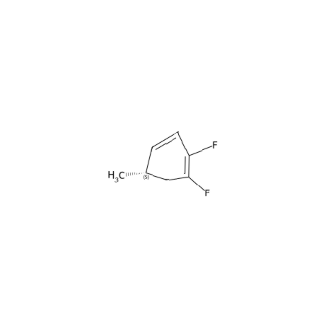 C[C@@H]1C=CC(F)=C(F)C1